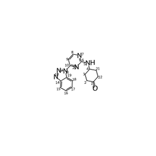 O=C1CCC(Nc2nccc(-n3nnc4ccccc43)n2)CC1